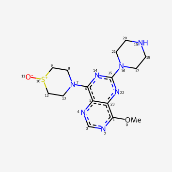 COc1ncnc2c(N3CC[S+]([O-])CC3)nc(N3CCNCC3)nc12